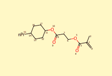 C=C(C)C(=O)OCCC(=O)OC1CCC(CCC)CC1